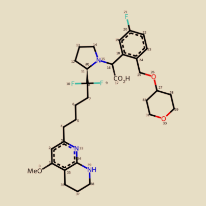 COc1cc(CCCCC(F)(F)[C@H]2CCCN2C(C(=O)O)c2cc(F)ccc2COC2CCOCC2)nc2c1CCCN2